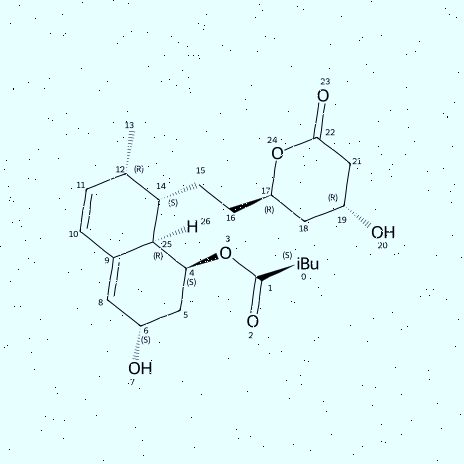 CC[C@H](C)C(=O)O[C@H]1C[C@H](O)C=C2C=C[C@H](C)[C@H](CC[C@@H]3C[C@@H](O)CC(=O)O3)[C@H]21